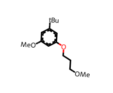 COCCCOc1cc(OC)cc(C(C)(C)C)c1